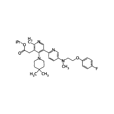 Cc1ncc(-c2ccc(N(C)CCOc3ccc(F)cc3)cn2)c(N2CCC(C)(C)CC2)c1CC(=O)OC(C)C